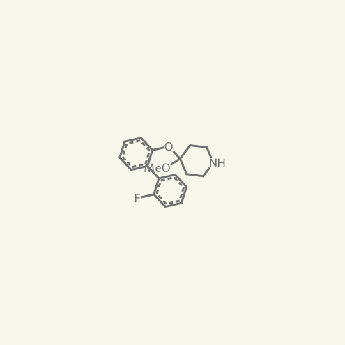 COC1(Oc2ccccc2-c2ccccc2F)CCNCC1